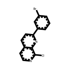 Clc1nccc2ccc(-c3cccc(Br)c3)nc12